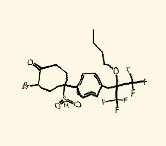 CCCCOC(c1ccc(C2([SH](=O)=O)CCC(=O)C(Br)C2)cc1)(C(F)(F)F)C(F)(F)F